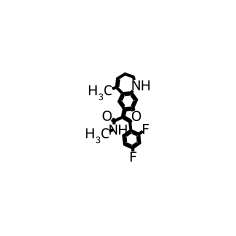 CNC(=O)c1c(-c2ccc(F)cc2F)oc2cc3c(cc12)C(C)=CCCN3